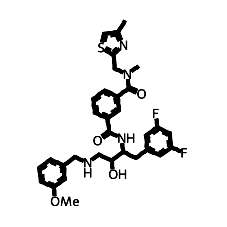 COc1cccc(CNCC(O)C(Cc2cc(F)cc(F)c2)NC(=O)c2cccc(C(=O)N(C)Cc3nc(C)cs3)c2)c1